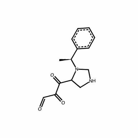 C[C@@H](c1ccccc1)N1CNCC1C(=O)C(=O)C=O